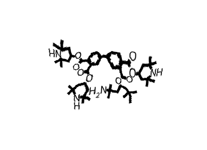 CC(C)(C)CC(CC(C)(C)N)OC(=O)c1cc(-c2ccc(C(=O)OC3CC(C)(C)NC(C)(C)C3)c(C(=O)OC3CC(C)(C)NC(C)(C)C3)c2)ccc1C(=O)OC1CC(C)(C)NC(C)(C)C1